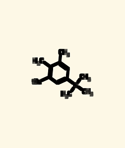 Cc1cc([Si](C)(C)C)cc(C(C)(C)C)c1C